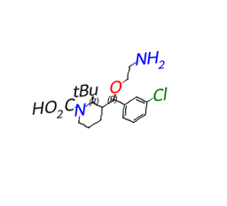 CC(C)(C)[C@H]1C([C@@H](OCCN)c2cccc(Cl)c2)CCCN1C(=O)O